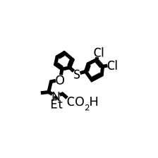 CCN(CC(=O)O)C(C)COc1ccccc1Sc1ccc(Cl)c(Cl)c1